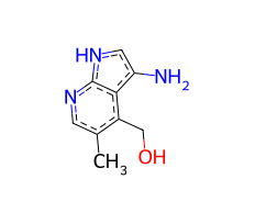 Cc1cnc2[nH]cc(N)c2c1CO